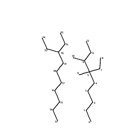 CCCCCC(C)(CC)C(C)CC.CCCCCCCC(CC)CC